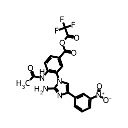 CC(=O)Nc1ccc(C(=O)OC(=O)C(F)(F)F)cc1-n1cc(-c2cccc([N+](=O)[O-])c2)nc1N